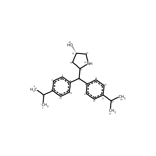 CC(C)c1ccc(C(c2ccc(C(C)C)cc2)C2C[C@H](O)CN2)cc1